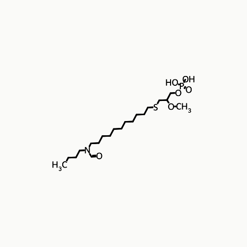 CCCCN(C=O)CCCCCCCCCCCSCC(COP(=O)(O)O)OC